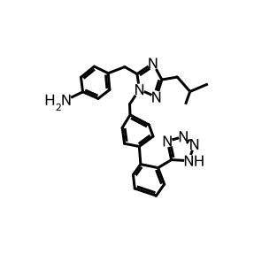 CC(C)Cc1nc(Cc2ccc(N)cc2)n(Cc2ccc(-c3ccccc3-c3nnn[nH]3)cc2)n1